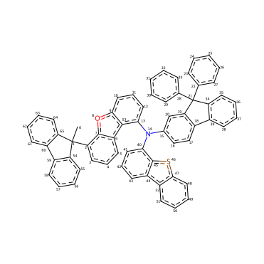 CC1(c2cccc3c2oc2cccc(N(c4ccc5c(c4)C(c4ccccc4)(c4ccccc4)c4ccccc4-5)c4cccc5c4sc4ccccc45)c23)c2ccccc2-c2ccccc21